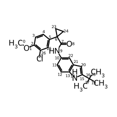 COc1ccc(C2(C(=O)Nc3ccc4[nH]c(C(C)(C)C)cc4c3)CC2)cc1Cl